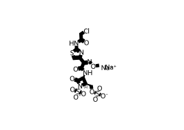 CON=C(C(=O)N[C@@H]1C(=O)N(S(=O)(=O)[O-])[C@@H]1COS(=O)(=O)[O-])c1csc(NC(=O)CCl)n1.[Na+].[Na+]